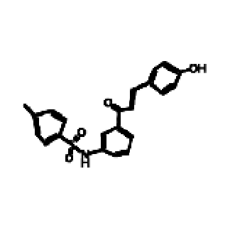 Cc1ccc(S(=O)(=O)Nc2cccc(C(=O)C=Cc3ccc(O)cc3)c2)cc1